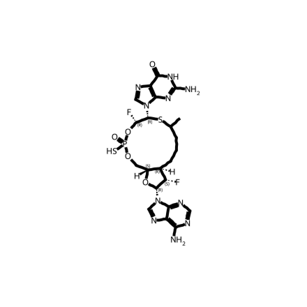 CC1CCC[C@H]2[C@H](F)[C@H](n3cnc4c(N)ncnc43)O[C@@H]2COP(=O)(S)O[C@H](F)[C@H](n2cnc3c(=O)[nH]c(N)nc32)S1